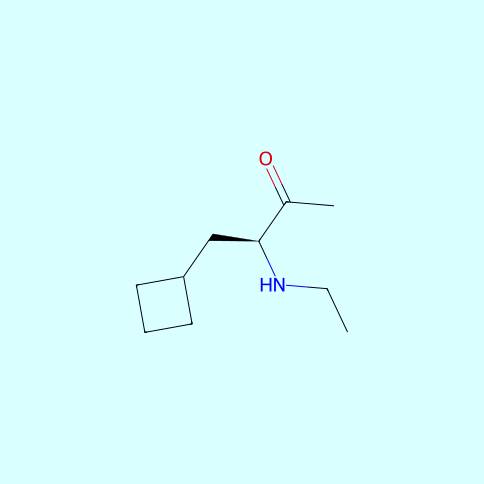 CCN[C@@H](CC1CCC1)C(C)=O